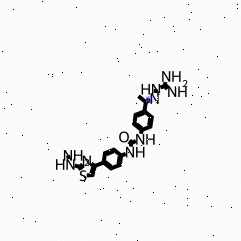 C/C(=N\NC(=N)N)c1ccc(NC(=O)Nc2ccc(-c3csc(NN)n3)cc2)cc1